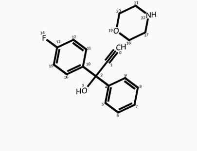 C#CC(O)(c1ccccc1)c1ccc(F)cc1.C1COCCN1